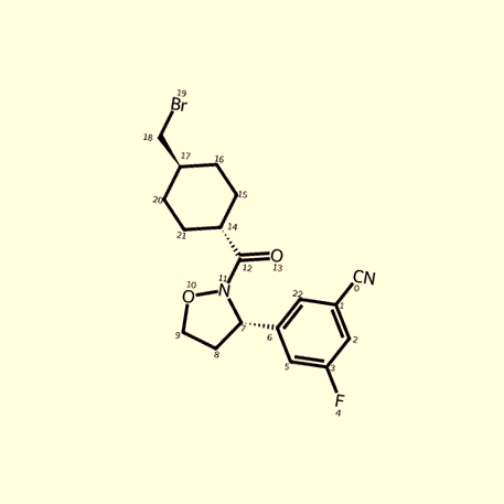 N#Cc1cc(F)cc([C@@H]2CCON2C(=O)[C@H]2CC[C@H](CBr)CC2)c1